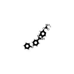 NC(=O)Oc1ccc2[nH]c(-c3ccc(Oc4ccccc4)cc3)nc2c1